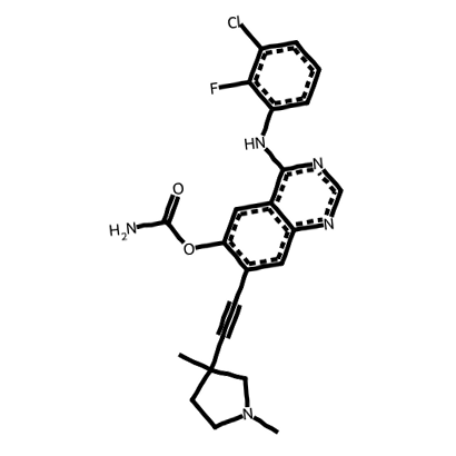 CN1CCC(C)(C#Cc2cc3ncnc(Nc4cccc(Cl)c4F)c3cc2OC(N)=O)C1